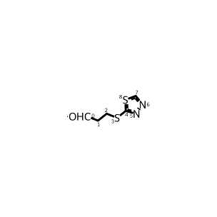 O=[C]CCSc1nncs1